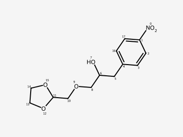 O=[N+]([O-])c1ccc(CC(O)COCC2OCCO2)cc1